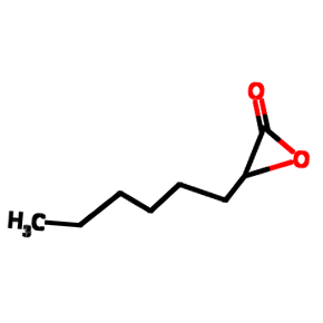 CCCCCCC1OC1=O